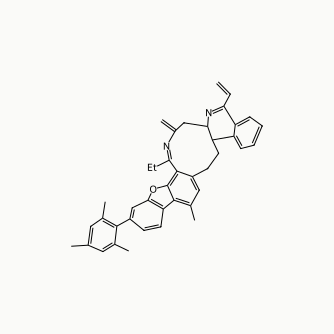 C=CC1=NC2CC(=C)/N=C(/CC)c3c(cc(C)c4c3oc3cc(-c5c(C)cc(C)cc5C)ccc34)CCC2c2ccccc21